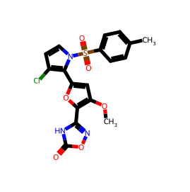 COc1cc(-c2c(Cl)ccn2S(=O)(=O)c2ccc(C)cc2)oc1-c1noc(=O)[nH]1